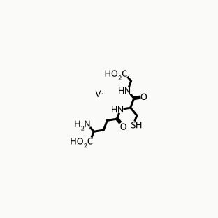 NC(CCC(=O)NC(CS)C(=O)NCC(=O)O)C(=O)O.[V]